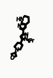 CC(C)n1nc(-c2cnc3c(c2)CCCN3)cc1C1CCN(C2COC2)CC1